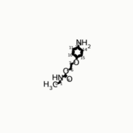 CCNC(=O)OCCOc1ccc(N)cc1